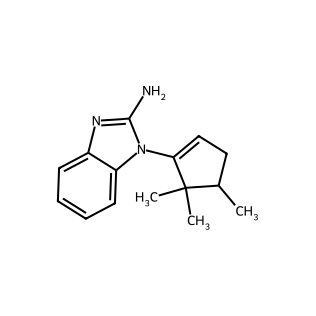 CC1CC=C(n2c(N)nc3ccccc32)C1(C)C